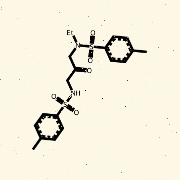 CCN(CC(=O)CNS(=O)(=O)c1ccc(C)cc1)S(=O)(=O)c1ccc(C)cc1